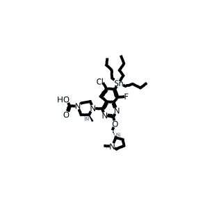 CCC[CH2][Sn]([CH2]CCC)([CH2]CCC)[c]1c(Cl)cc2c(N3CCN(C(=O)O)C[C@@H]3C)nc(OC[C@@H]3CCCN3C)nc2c1F